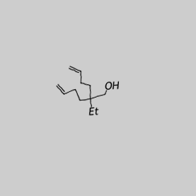 C=CCCC(CC)(CO)CCC=C